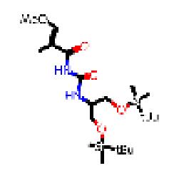 CO/C=C(\C)C(=O)NC(=O)NC(CO[Si](C)(C)C(C)(C)C)CO[Si](C)(C)C(C)(C)C